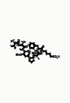 CCC(C)[C@@H]([C@@H](CC(=O)N1CCC[C@H]1[C@H](OC)[C@@H](C)C(=O)N[C@@H](Cc1ccccc1)C(=O)NCCCCC(=O)O)OC)N(C)C(=O)[C@@H](NC(=O)[C@H](C(C)C)N(C)C)C(C)C